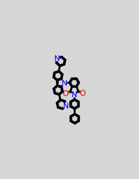 O=C1c2cccc(-n3c4cc(-c5cccnc5)ccc4c4ccc(-c5cccnc5)cc43)c2C(=O)N1c1ccc(-c2ccccc2)cc1